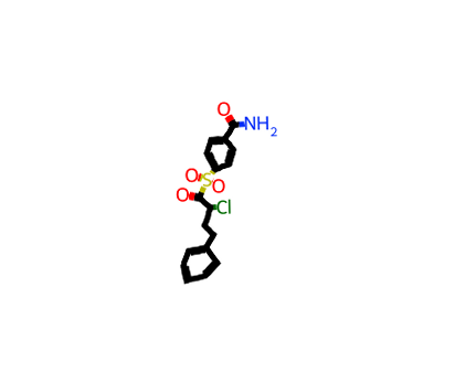 NC(=O)c1ccc(S(=O)(=O)C(=O)C(Cl)CCc2ccccc2)cc1